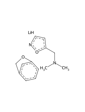 CN(C)Cc1ccno1.[LiH].c1cc2cc(c1)OC2